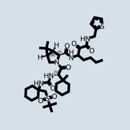 CCCCC(NC(=O)[C@@H]1[C@@H]2[C@H](CN1C(=O)[C@@H](NC(=O)NC1(CS(=O)(=O)C(C)(C)C)CCCCC1)C1(C)CCCCC1)C2(C)C)C(=O)C(=O)NCc1cccs1